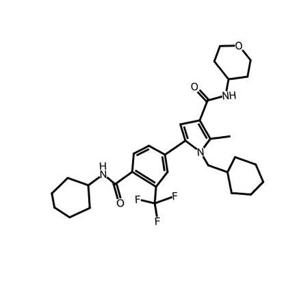 Cc1c(C(=O)NC2CCOCC2)cc(-c2ccc(C(=O)NC3CCCCC3)c(C(F)(F)F)c2)n1CC1CCCCC1